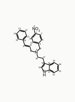 O=[N+]([O-])c1ccc(CN(C/C=C/c2ccccc2)CCc2c[nH]c3ccccc23)cc1